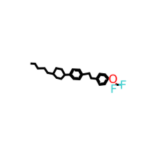 CCCCCC1CCC(c2ccc(CCc3ccc(OC(F)F)cc3)cc2)CC1